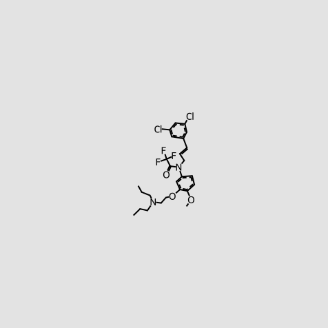 CCCN(CCC)CCOc1cc(N(C/C=C/c2cc(Cl)cc(Cl)c2)C(=O)C(F)(F)F)ccc1OC